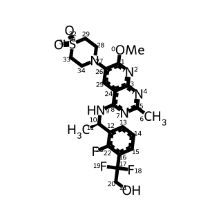 COc1nc2nc(C)nc(N[C@H](C)c3cccc(C(F)(F)CO)c3F)c2cc1N1CCS(=O)(=O)CC1